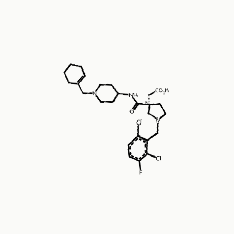 O=C(O)C[C@]1(C(=O)NC2CCN(CC3=CCCCC3)CC2)CCN(Cc2c(Cl)ccc(F)c2Cl)C1